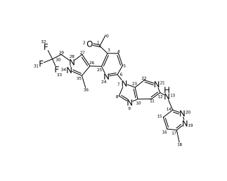 CC(=O)c1ccc(-n2cnc3cc(Nc4ccc(C)nn4)ncc32)nc1-c1cn(CC(F)(F)F)nc1C